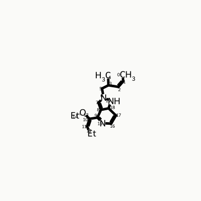 C/C=C\C(C)CN1C=C2C(/C(=C\CC)OCC)=NC=CC2N1